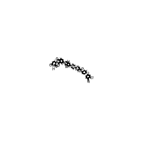 N#Cc1ccc(OC2CCC(NC(=O)c3cnc(N4CCN(C5C[C@@H]6CN(c7ccc8c(c7)C(=O)N(C7CCC(=O)NC7=O)C8=O)C[C@@H]6C5)CC4)nc3)CC2)cc1Cl